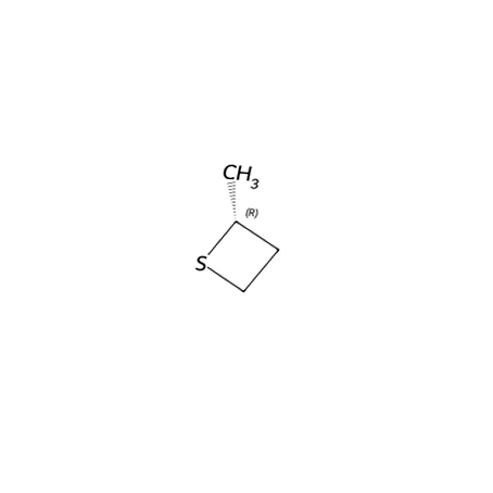 C[C@@H]1CCS1